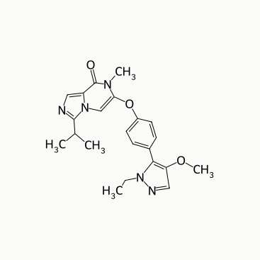 CCn1ncc(OC)c1-c1ccc(Oc2cn3c(C(C)C)ncc3c(=O)n2C)cc1